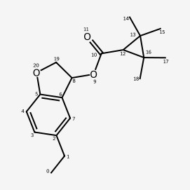 CCc1ccc2c(c1)C(OC(=O)C1C(C)(C)C1(C)C)CO2